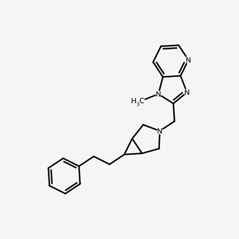 Cn1c(CN2CC3C(CCc4ccccc4)C3C2)nc2ncccc21